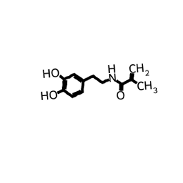 C=C(C)C(=O)NCCc1ccc(O)c(O)c1